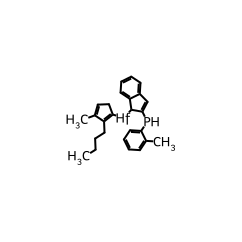 CCCCC1=[C]([Hf][CH]2C(Pc3ccccc3C)=Cc3ccccc32)CC=C1C